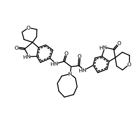 O=C(Nc1ccc2c(c1)NC(=O)C21CCOCC1)C(C(=O)Nc1ccc2c(c1)NC(=O)C21CCOCC1)N1CCCCCCC1